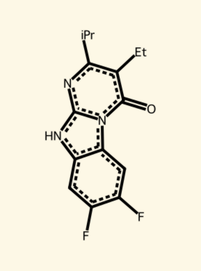 CCc1c(C(C)C)nc2[nH]c3cc(F)c(F)cc3n2c1=O